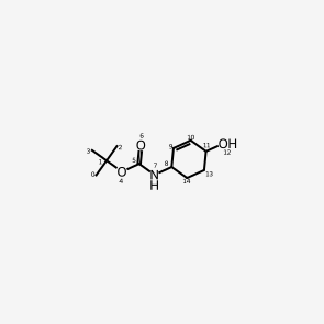 CC(C)(C)OC(=O)NC1C=CC(O)CC1